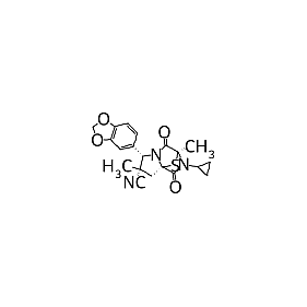 C[C@]1(C#N)C[C@@]23S[C@@](C)(C(=O)N2[C@H]1c1ccc2c(c1)OCO2)N(C1CC1)C3=O